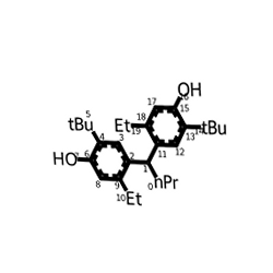 CCCC(c1cc(C(C)(C)C)c(O)cc1CC)c1cc(C(C)(C)C)c(O)cc1CC